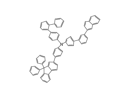 c1ccc(-c2ccccc2-c2ccc(N(c3ccc(-c4cccc(-c5ccc6ccccc6c5)c4)cc3)c3ccc(-c4ccc5c(c4)C(c4ccccc4)(c4ccccc4)c4ccccc4-5)cc3)cc2)cc1